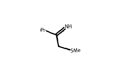 CSCC(=N)C(C)C